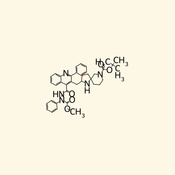 COC(=O)N(NC(=O)c1c(CC2CCC3(CCCN(C(=O)OC(C)(C)C)C3)N2)c(-c2ccccc2)nc2ccccc12)c1ccccc1